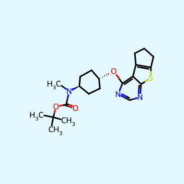 CN(C(=O)OC(C)(C)C)[C@H]1CC[C@H](Oc2ncnc3sc4c(c23)CCC4)CC1